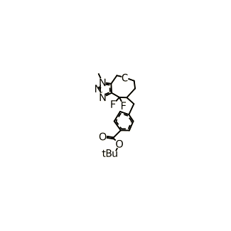 Cn1nnc2c1CCCCC(Cc1ccc(C(=O)OC(C)(C)C)cc1)C2(F)F